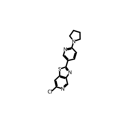 Clc1cc2sc(-c3ccc(N4CCCC4)nc3)nc2cn1